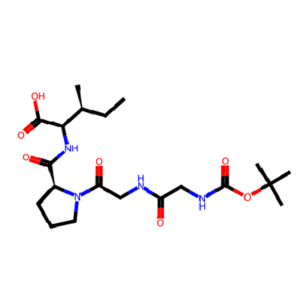 CC[C@H](C)C(NC(=O)[C@@H]1CCCN1C(=O)CNC(=O)CNC(=O)OC(C)(C)C)C(=O)O